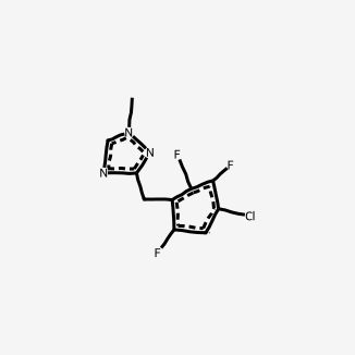 Cn1cnc(Cc2c(F)[c]c(Cl)c(F)c2F)n1